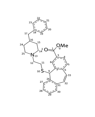 COC(=O)c1ccc2c(c1)C(SCCN1CCC(Cc3ccccc3)CC1)c1ccccc1C=C2